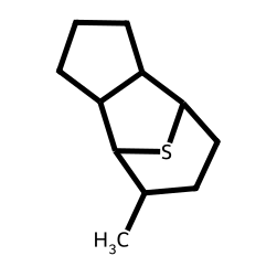 CC1CCC2SC1C1CCCC21